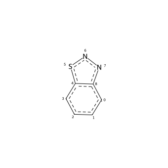 [c]1cccc2snnc12